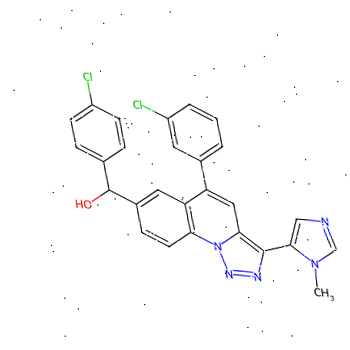 Cn1cncc1-c1nnn2c1cc(-c1cccc(Cl)c1)c1cc(C(O)c3ccc(Cl)cc3)ccc12